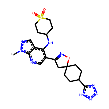 CCn1ncc2c(NC3CCS(=O)(=O)CC3)c(C3=NOC4(CCC(c5nnn[nH]5)CC4)C3)cnc21